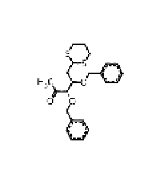 CC(=O)[C@@H](OCc1ccccc1)[C@@H](CC1SCCCS1)OCc1ccccc1